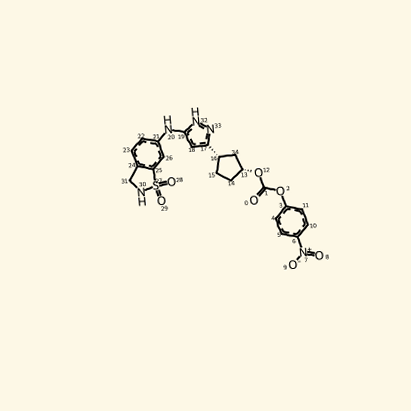 O=C(Oc1ccc([N+](=O)[O-])cc1)O[C@@H]1CC[C@H](c2cc(Nc3ccc4c(c3)S(=O)(=O)NC4)[nH]n2)C1